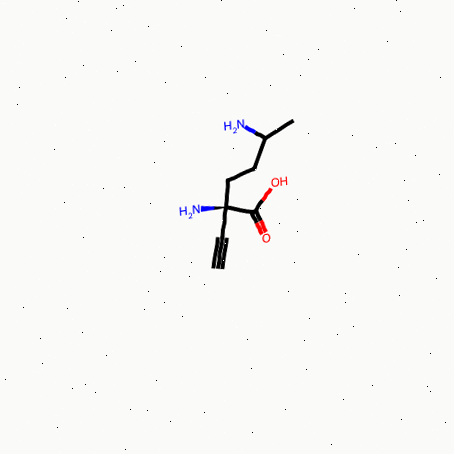 C#C[C@](N)(CCC(C)N)C(=O)O